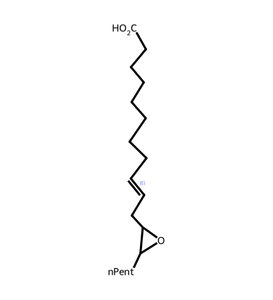 CCCCCC1OC1C/C=C/CCCCCCCC(=O)O